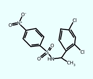 CC(NS(=O)(=O)c1ccc([N+](=O)[O-])cc1)c1ccc(Cl)cc1Cl